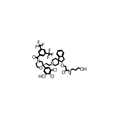 CN(CCCO)C(=O)CO[C@H]1Cc2ccccc2C12CCN(CC[C@]1(c3ccc(Cl)c(Cl)c3)CN(C(=O)c3cc(C(F)(F)F)cc(C(F)(F)F)c3)CCO1)CC2.Cl